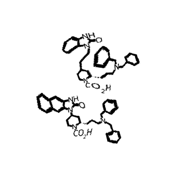 O=C(O)N1CCC(CCn2c(=O)[nH]c3ccccc32)C[C@@H]1CCCN(Cc1ccccc1)Cc1ccccc1.O=C(O)N1CCC(n2c(=O)[nH]c3cc4ccccc4cc32)C[C@@H]1CCCN(Cc1ccccc1)Cc1ccccc1